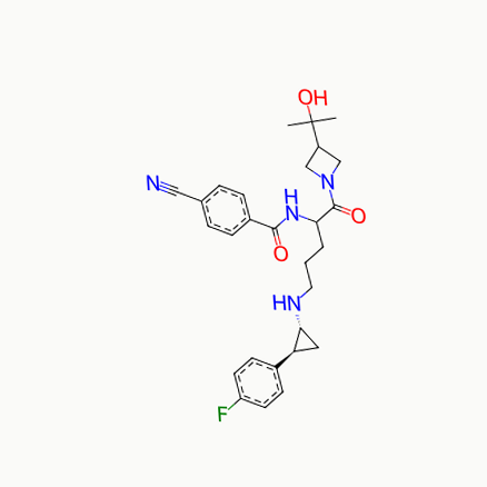 CC(C)(O)C1CN(C(=O)C(CCCN[C@@H]2C[C@H]2c2ccc(F)cc2)NC(=O)c2ccc(C#N)cc2)C1